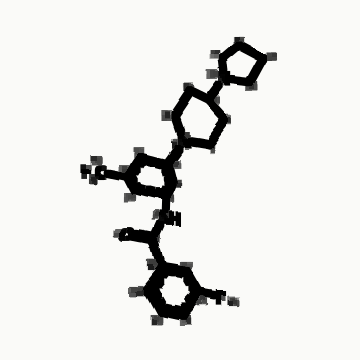 O=C(Nc1cc(N2CCC(N3CCCC3)CC2)cc(C(F)(F)F)c1)c1cccc(F)c1